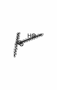 CCCCCCCCCCC(CCCCCCCC)COC(=O)CCCCCCCCCCC(O)CCCCCC